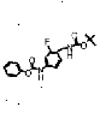 CC(C)(C)OC(=O)NCc1ccc(NC(=O)Oc2ccccc2)cc1F